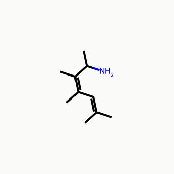 CC(C)=C/C(C)=C(/C)C(C)N